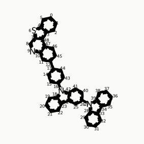 c1ccc2c(c1)sc1cnc3cc(-c4ccc(-n5c6ccccc6c6cc(-n7c8ccccc8c8ccccc87)ccc65)cc4)ccc3c12